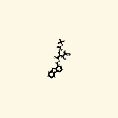 CC(C)(C)OC(=O)NCC(C(=O)OCc1cccc2c1Cc1ccccc1-2)C(N)C(=O)O